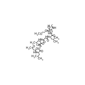 CNC(CNC(=O)C(CC(C)C)NC(=O)CC(=O)NC(CC(C)C)C(=O)OCOC(=O)C(CC(C)C)NC(=O)CC(C)=O)C(=O)NOCCOC